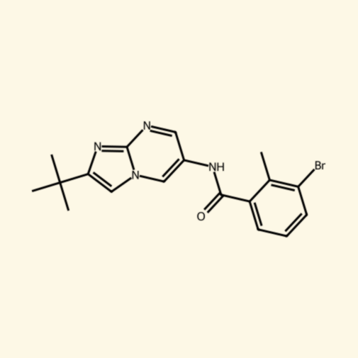 Cc1c(Br)cccc1C(=O)Nc1cnc2nc(C(C)(C)C)cn2c1